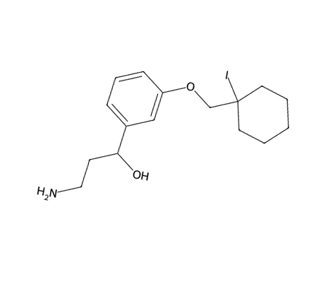 NCCC(O)c1cccc(OCC2(I)CCCCC2)c1